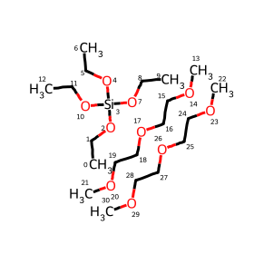 CCO[Si](OCC)(OCC)OCC.COCCOCCOC.COCCOCCOC